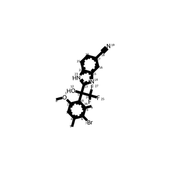 COc1cc(C)c(Br)c(C)c1C(O)(c1nc2cc(C#N)ccc2[nH]1)C(F)(F)F